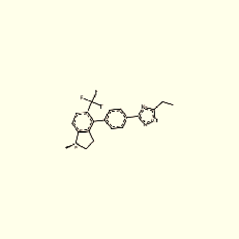 CCc1nc(-c2ccc(-c3c(C(F)(F)F)ccc4c3CC[C@H]4C)cc2)no1